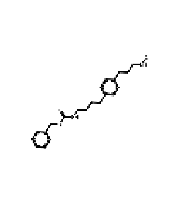 O=C(NCCCCc1ccc(CCCNCl)cc1)OCc1ccccc1